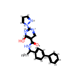 CCCC(NC(=O)c1cnc(-n2cccn2)nc1O)c1ccc(-c2ccccc2)cc1